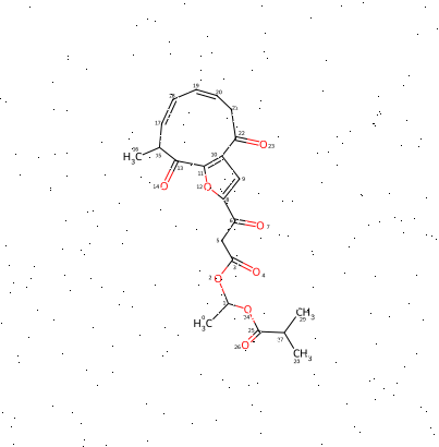 CC(OC(=O)CC(=O)c1cc2c(o1)C(=O)C(C)/C=C\C=C/CC2=O)OC(=O)C(C)C